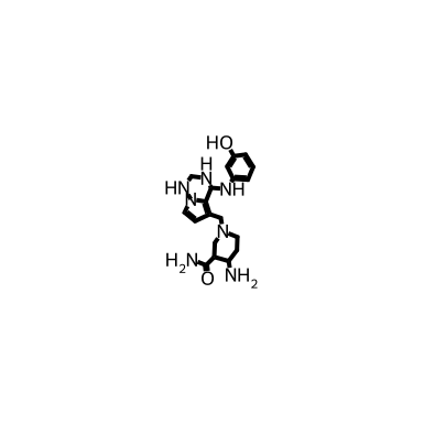 NC(=O)C1CN(Cc2ccn3c2C(Nc2cccc(O)c2)NCN3)CCC1N